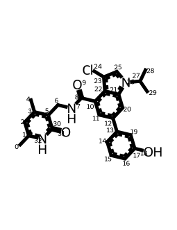 Cc1cc(C)c(CNC(=O)c2cc(-c3cccc(O)c3)cc3c2c(Cl)cn3C(C)C)c(=O)[nH]1